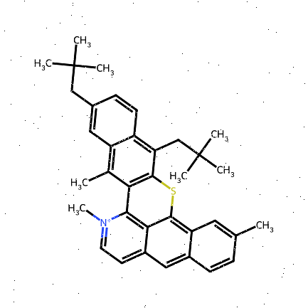 Cc1ccc2cc3cc[n+](C)c4c3c(c2c1)Sc1c-4c(C)c2cc(CC(C)(C)C)ccc2c1CC(C)(C)C